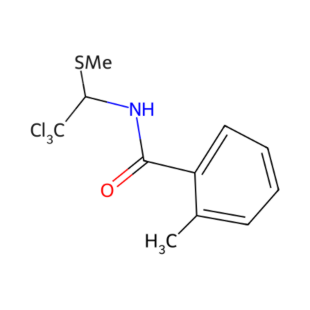 CSC(NC(=O)c1ccccc1C)C(Cl)(Cl)Cl